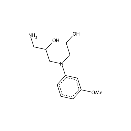 COc1cccc(N(CCO)CC(O)CN)c1